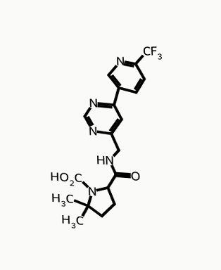 CC1(C)CCC(C(=O)NCc2cc(-c3ccc(C(F)(F)F)nc3)ncn2)N1C(=O)O